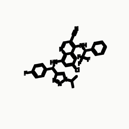 CC(C)n1cc([C@@H](Nc2cc(Cl)cc3c(N[C@@H](c4ccccc4)C(F)(F)F)c(C#N)cnc23)c2ccc(F)cc2)nn1